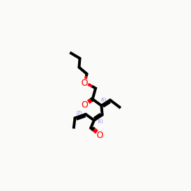 C\C=C/C(C=O)=C\C(=C/C)C(=O)COCCCC